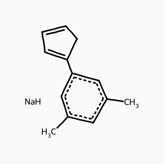 Cc1cc(C)cc(C2=CC=CC2)c1.[NaH]